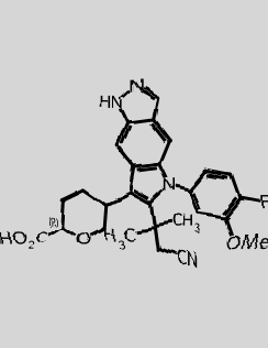 COc1cc(-n2c(C(C)(C)CC#N)c(C3CC[C@H](C(=O)O)OC3)c3cc4[nH]ncc4cc32)ccc1F